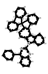 c1ccc(-c2nc(-n3c4ccccc4c4c5c(ccc43)C3(c4ccccc4-c4ccccc43)c3ccccc3-5)nc3ccccc23)cc1